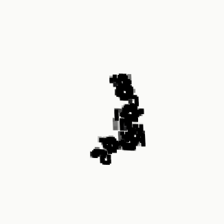 C=CC(=O)N1C[C@H](c2ccc3ncnc(Nc4cc(C)c(Oc5ccc6c(c5)ncn6C)cc4F)c3n2)C[C@H]1C